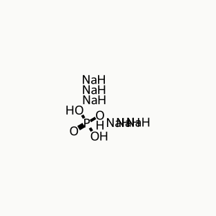 O=P(O)(O)O.[NaH].[NaH].[NaH].[NaH].[NaH].[NaH]